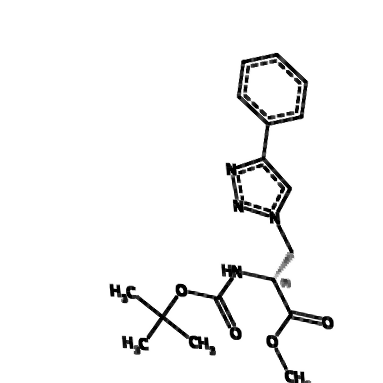 COC(=O)[C@@H](Cn1cc(-c2ccccc2)nn1)NC(=O)OC(C)(C)C